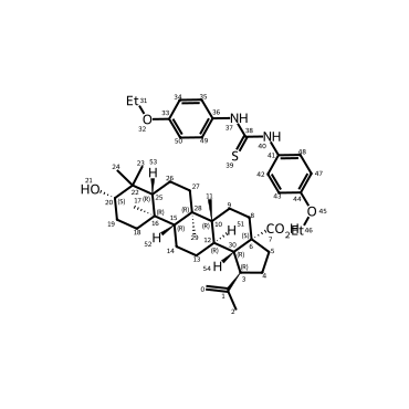 C=C(C)[C@@H]1CC[C@]2(C(=O)O)CC[C@]3(C)[C@H](CC[C@@H]4[C@@]5(C)CC[C@H](O)C(C)(C)[C@@H]5CC[C@]43C)[C@@H]12.CCOc1ccc(NC(=S)Nc2ccc(OCC)cc2)cc1